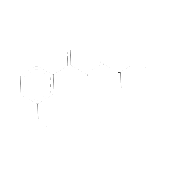 O=C(O)C(=O)NNC(=O)c1cc(C(F)(F)F)ccc1Cl